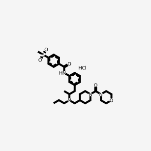 CCCN(CC1CCN(C(=O)N2CCOCC2)CC1)C(C)Cc1cccc(NC(=O)c2ccc(S(C)(=O)=O)cc2)c1.Cl